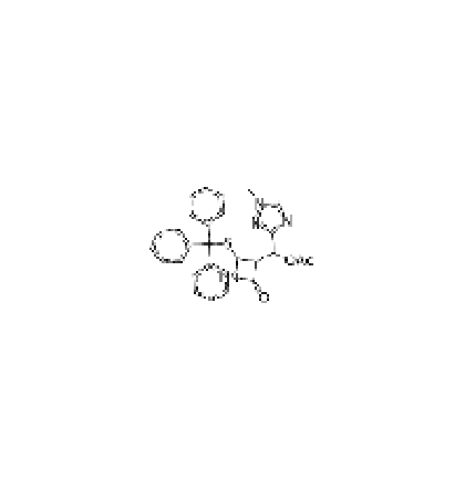 CC(=O)OC(c1ncn(C)n1)C1C(=O)NC1SC(c1ccccc1)(c1ccccc1)c1ccccc1